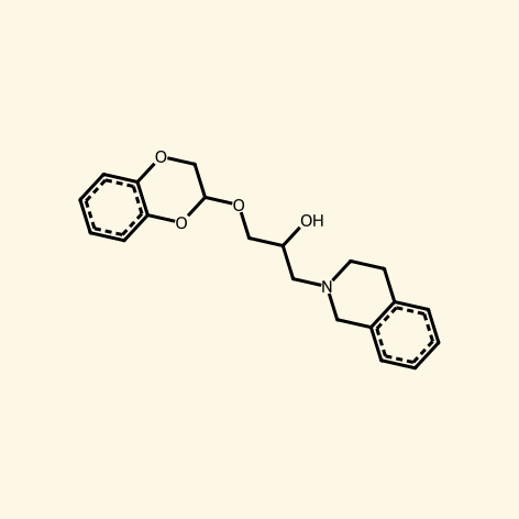 OC(COC1COc2ccccc2O1)CN1CCc2ccccc2C1